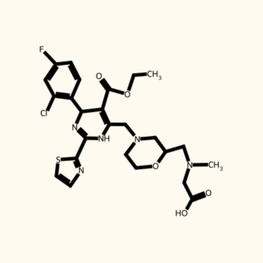 CCOC(=O)C1=C(CN2CCOC(CN(C)CC(=O)O)C2)NC(c2nccs2)=NC1c1ccc(F)cc1Cl